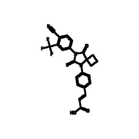 N#Cc1ccc(N2C(=O)C3(CCC3)N(c3ccc(/C=C/C(=O)O)cc3)C2=S)cc1C(F)(F)F